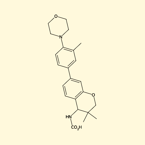 Cc1cc(-c2ccc3c(c2)OCC(C)(C)C3NC(=O)O)ccc1N1CCOCC1